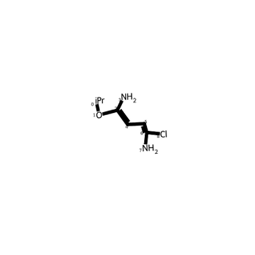 CC(C)O/C(N)=C/C=C(\N)Cl